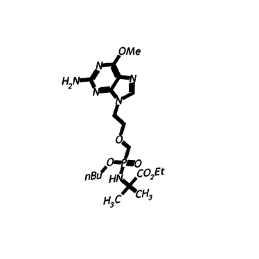 CCCCOP(=O)(COCCn1cnc2c(OC)nc(N)nc21)NC(C)(C)C(=O)OCC